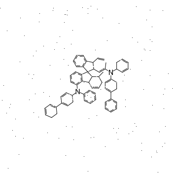 C=CC1c2ccccc2C2(c3cccc(N(c4ccccc4)C4C=CC(C5=CC=CCC5)=CC4)c3C3C=CCC(C)C32)C1/C=C(\C)N(C1=CC=C(c2ccccc2)CC1)C1C=CC=CC1